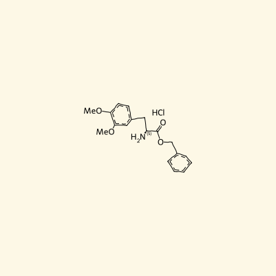 COc1ccc(C[C@H](N)C(=O)OCc2ccccc2)cc1OC.Cl